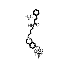 Cc1ccccc1C=CC(=O)NCCCCN1CCc2ccc(OS(=O)(=O)C(F)(F)F)cc2C1